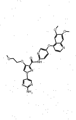 COCCOc1cn(-c2cnc(N)nc2)nc1C(=O)Nc1ccc(Oc2ccnc3cc(OC)c(OC)cc23)cn1